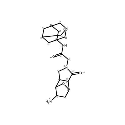 NC1CC2OC1C1CN(CC(=O)NC34CC5CC(CN(C5)C3)C4)C(=O)C21